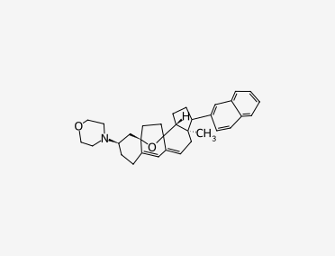 C[C@]12CC=C3C=C4CC[C@@H](N5CCOCC5)C[C@]45CCC3(O5)[C@@H]1CCC2c1ccc2ccccc2c1